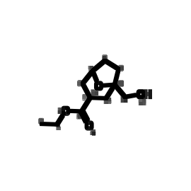 CCOC(=O)C1CC2CCC(CO)(C1)O2